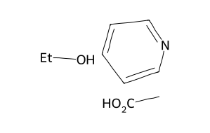 CC(=O)O.CCO.c1ccncc1